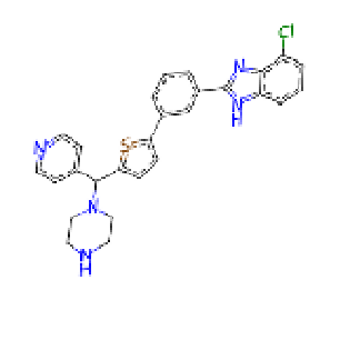 Clc1cccc2[nH]c(-c3cccc(-c4ccc(C(c5ccncc5)N5CCNCC5)s4)c3)nc12